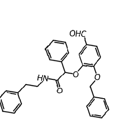 O=Cc1ccc(OCc2ccccc2)c(OC(C(=O)NCCc2ccccc2)c2ccccc2)c1